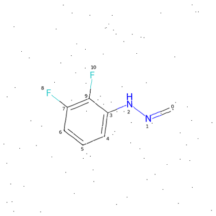 [CH]=NNc1cccc(F)c1F